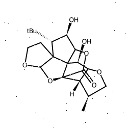 C[C@@H]1COC2[C@H]1[C@@]13OC4OCCC45[C@H](C(C)(C)C)[C@@H](O)C(OC1=O)C53[C@H]2O